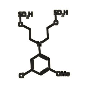 COc1cc(Cl)cc(N(CCOS(=O)(=O)O)CCOS(=O)(=O)O)c1